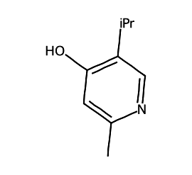 Cc1cc(O)c(C(C)C)cn1